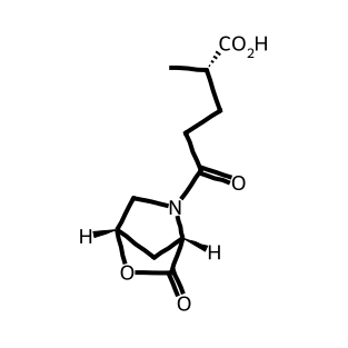 C[C@@H](CCC(=O)N1C[C@@H]2C[C@H]1C(=O)O2)C(=O)O